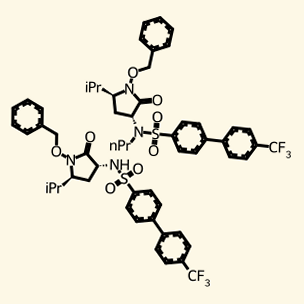 CC(C)[C@@H]1C[C@@H](NS(=O)(=O)c2ccc(-c3ccc(C(F)(F)F)cc3)cc2)C(=O)N1OCc1ccccc1.CCCN([C@@H]1C[C@@H](C(C)C)N(OCc2ccccc2)C1=O)S(=O)(=O)c1ccc(-c2ccc(C(F)(F)F)cc2)cc1